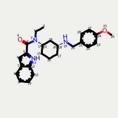 CCN(C(=O)c1cc2ccccc2[nH]1)[C@H]1CCC[C@@H](NCc2ccc(OC)cc2)C1